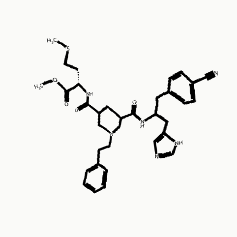 COC(=O)[C@H](CCSC)NC(=O)C1CC(C(=O)NC(Cc2ccc(C#N)cc2)Cc2cnc[nH]2)CN(CCc2ccccc2)C1